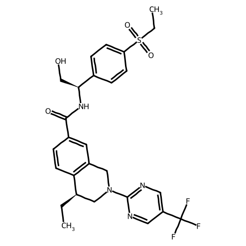 CC[C@@H]1CN(c2ncc(C(F)(F)F)cn2)Cc2cc(C(=O)N[C@@H](CO)c3ccc(S(=O)(=O)CC)cc3)ccc21